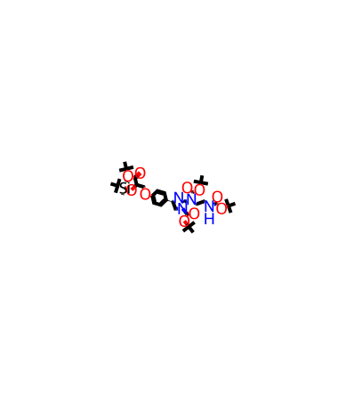 CC(C)(C)OC(=O)NCCN(C(=O)OC(C)(C)C)C1=N[C@@H](c2ccc(OCC(O[Si](C)(C)C(C)(C)C)C(=O)OC(C)(C)C)cc2)CN1C(=O)OC(C)(C)C